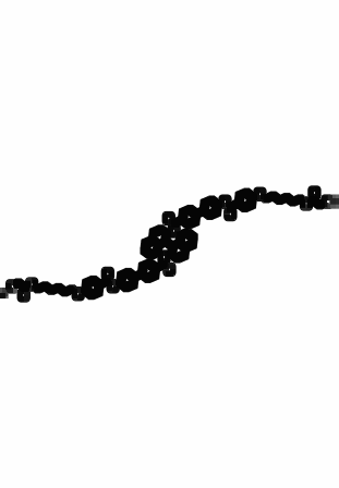 C=CC(=O)OCCCCCCOc1ccc(C(=O)Oc2ccc(-c3ccc(C(=O)Oc4ccc5ccccc5c4-c4c(OC(=O)c5ccc(-c6ccc(OC(=O)c7ccc(OCCCCCCOC(=O)C=C)cc7)cc6)cc5)ccc5ccccc45)cc3)cc2)cc1